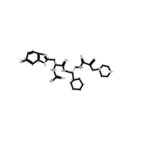 C=C(CN1CCOCC1)C(=O)NC[C@@H](NC(=O)[C@H](Cc1nc2ccc(Cl)cc2s1)NC(=O)CC)C1CCCCC1